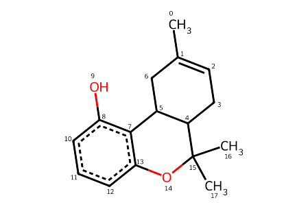 CC1=CCC2C(C1)c1c(O)cccc1OC2(C)C